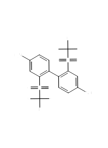 Nc1ccc(-c2ccc(N)cc2S(=O)(=O)C(F)(F)F)c(S(=O)(=O)C(F)(F)F)c1